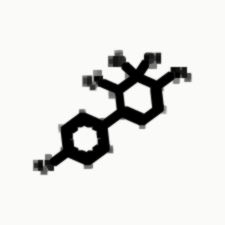 NC1=CC=C(c2ccc(N)cc2)C(N)C1(O)O